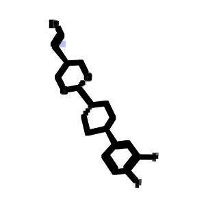 CC/C=C/[C@H]1CO[C@H]([C@H]2CC[C@H](c3ccc(F)c(F)c3)CC2)OC1